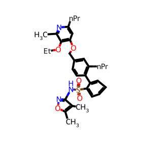 CCCc1cc(OCc2ccc(-c3ccccc3S(=O)(=O)Nc3noc(C)c3C)c(CCC)c2)c(OCC)c(C)n1